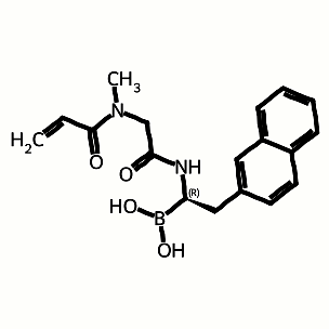 C=CC(=O)N(C)CC(=O)N[C@@H](Cc1ccc2ccccc2c1)B(O)O